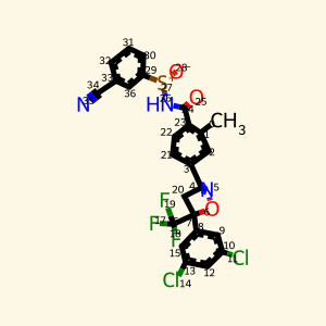 Cc1cc(C2=NOC(c3cc(Cl)cc(Cl)c3)(C(F)(F)F)C2)ccc1C(=O)N[S+]([O-])c1cccc(C#N)c1